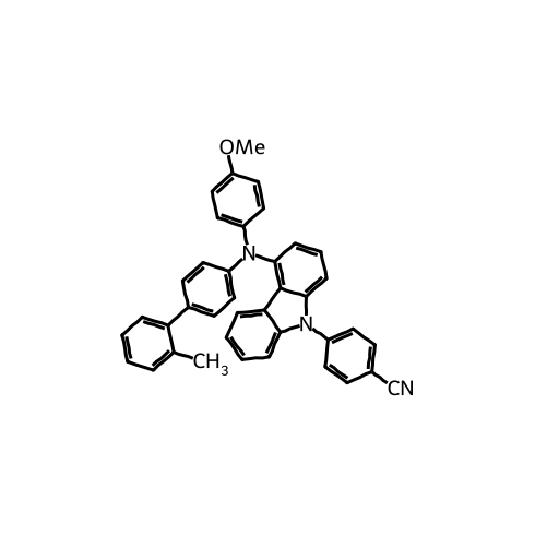 COc1ccc(N(c2ccc(-c3ccccc3C)cc2)c2cccc3c2c2ccccc2n3-c2ccc(C#N)cc2)cc1